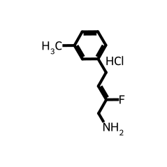 Cc1cccc(CC=C(F)CN)c1.Cl